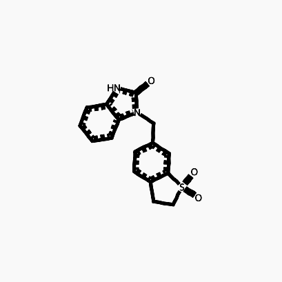 O=c1[nH]c2ccccc2n1Cc1ccc2c(c1)S(=O)(=O)CC2